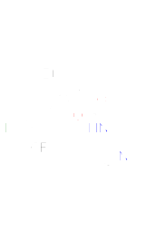 CCC1C[C@@]1(OC(=O)NCC1CCCN1C)c1ccc(F)c(C(F)(F)F)c1